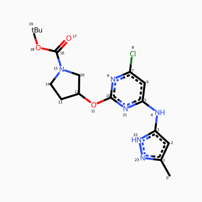 Cc1cc(Nc2cc(Cl)nc(OC3CCN(C(=O)OC(C)(C)C)C3)n2)[nH]n1